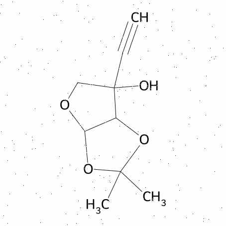 C#CC1(O)COC2OC(C)(C)OC21